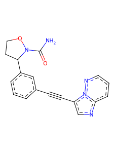 NC(=O)N1OCCC1c1cccc(C#Cc2cnc3cccnn23)c1